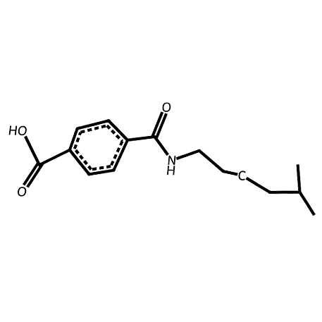 CC(C)CCCCNC(=O)c1ccc(C(=O)O)cc1